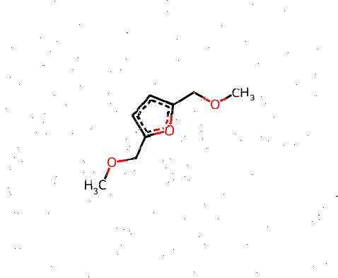 COCc1ccc(COC)o1